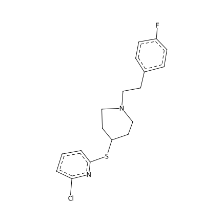 Fc1ccc(CCN2CCC(Sc3cccc(Cl)n3)CC2)cc1